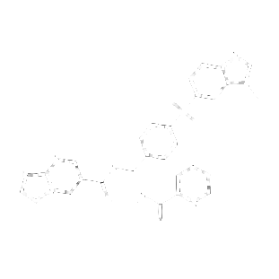 Cn1cnc2ccc(S(=O)(=O)c3ccc(CNC(=O)c4cnc5nccn5c4)cc3)cc21.NC(=O)c1ccccn1